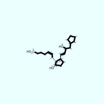 O=C(O)CCC/C=C\C[C@H]1[C@@H](O)CC[C@@H]1/C=C/C(O)CC1CCCC1